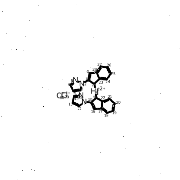 C1=C(n2cccn2)[CH]([Hf+2][CH]2C(n3cccn3)=Cc3ccccc32)c2ccccc21.[Cl-].[Cl-]